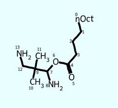 CCCCCCCCCCCC(=O)OC(N)C(C)(C)CN